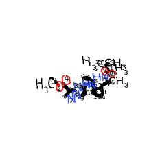 CCOC(=O)c1cnn2ccc(N3CCCN3c3ccccc3CC[C@@H](C)NC(=O)OC(C)(C)C)nc12